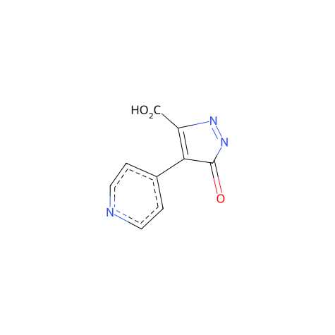 O=C(O)C1=C(c2ccncc2)C(=O)N=N1